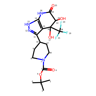 CC(C)(C)OC(=O)N1CCC(c2n[nH]c3c2C(O)(C(F)(F)F)C(O)C(=O)N3)CC1